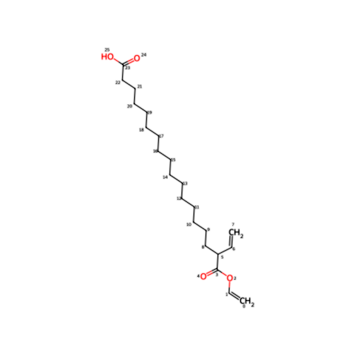 C=COC(=O)C(C=C)CCCCCCCCCCCCCCCC(=O)O